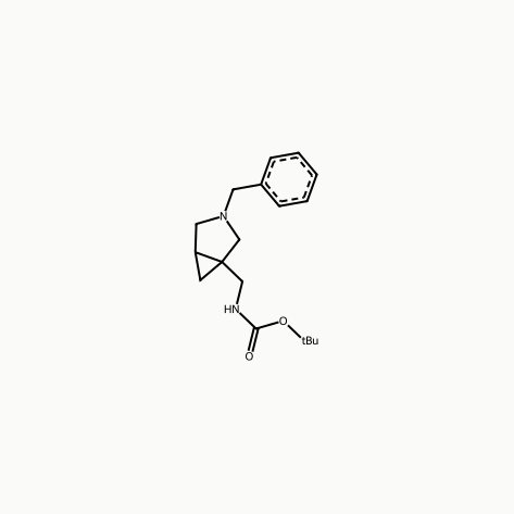 CC(C)(C)OC(=O)NCC12CC1CN(Cc1ccccc1)C2